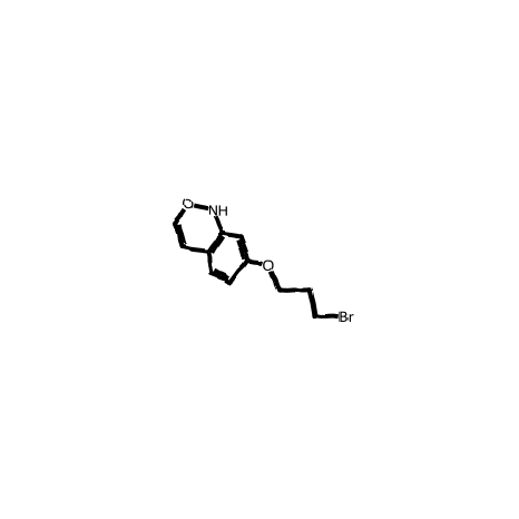 BrCCCOc1ccc2c(c1)NOC=C2